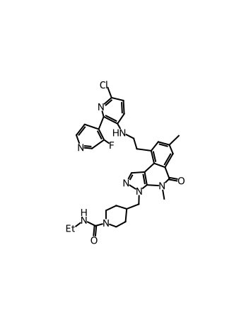 CCNC(=O)N1CCC(Cn2ncc3c4c(CCNc5ccc(Cl)nc5-c5ccncc5F)cc(C)cc4c(=O)n(C)c32)CC1